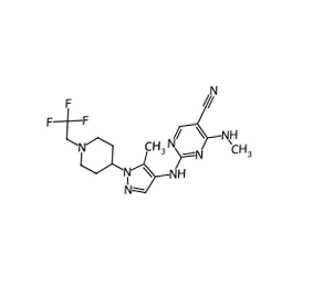 CNc1nc(Nc2cnn(C3CCN(CC(F)(F)F)CC3)c2C)ncc1C#N